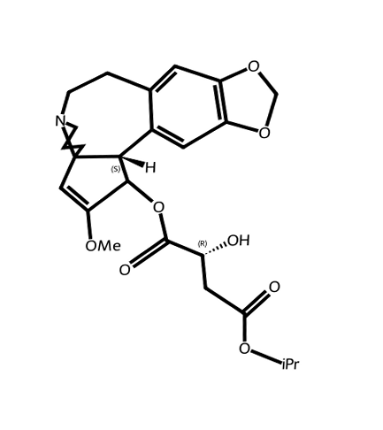 COC1=CC23CCCN2CCc2cc4c(cc2[C@@H]3C1OC(=O)[C@H](O)CC(=O)OC(C)C)OCO4